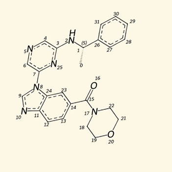 C[C@H](Nc1cncc(-n2cnc3ccc(C(=O)N4CCOCC4)cc32)n1)c1ccccc1